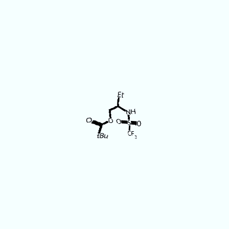 CCC(COC(=O)C(C)(C)C)NS(=O)(=O)C(F)(F)F